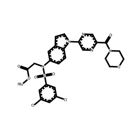 CC(C)(C)OC(=O)CN(c1ccc2c(ccn2-c2cnc(C(=O)N3CCOCC3)cn2)c1)S(=O)(=O)c1cc(Cl)cc(Cl)c1